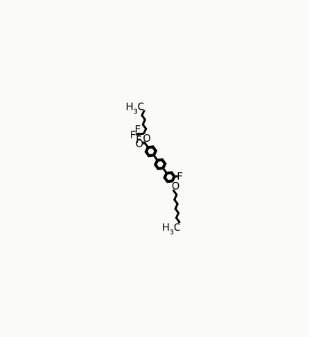 CCCCCCCCCOc1ccc(-c2ccc(-c3ccc(C(=O)OC(CCCCCC)C(F)(F)F)cc3)cc2)cc1F